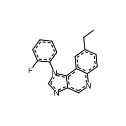 CCc1ccc2ncc3ncn(-c4ccccc4F)c3c2c1